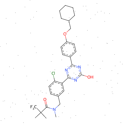 CN(Cc1ccc(Cl)c(-c2nc(O)nc(-c3ccc(OCC4CCCCC4)cc3)n2)c1)C(=O)C(C)(C)C(F)(F)F